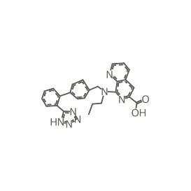 CCCN(Cc1ccc(-c2ccccc2-c2nnn[nH]2)cc1)c1nc(C(=O)O)cc2cccnc12